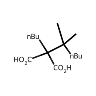 CCCCC(C)(C)C(CCCC)(C(=O)O)C(=O)O